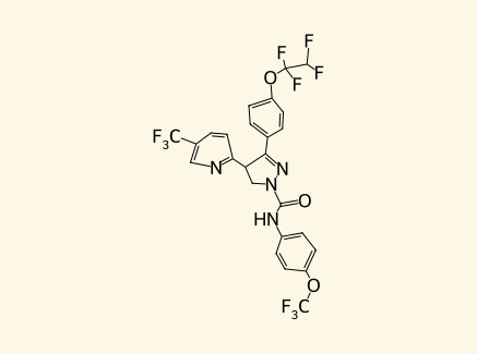 O=C(Nc1ccc(OC(F)(F)F)cc1)N1CC(c2ccc(C(F)(F)F)cn2)C(c2ccc(OC(F)(F)C(F)F)cc2)=N1